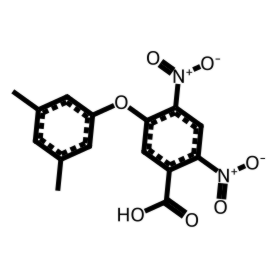 Cc1cc(C)cc(Oc2cc(C(=O)O)c([N+](=O)[O-])cc2[N+](=O)[O-])c1